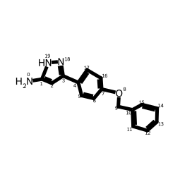 Nc1cc(-c2ccc(OCc3ccccc3)cc2)n[nH]1